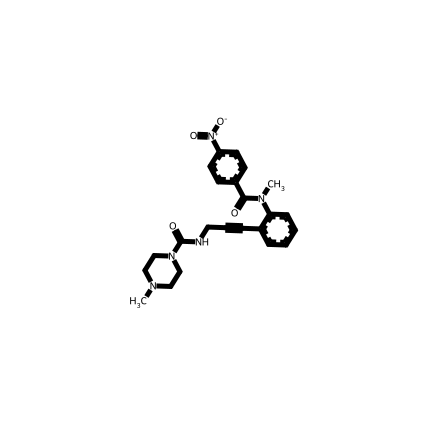 CN1CCN(C(=O)NCC#Cc2ccccc2N(C)C(=O)c2ccc([N+](=O)[O-])cc2)CC1